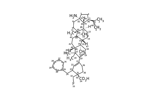 C=C(C)[C@@H]1CC[C@]2(N)CC[C@]3(C)[C@H](CC[C@@H]4[C@@]5(C)CC=C(C6=CC(Cc7ccccc7)[C@](CF)(C(=O)O)CC6)C(C)(C)[C@@H]5CC[C@]43C)[C@@H]12